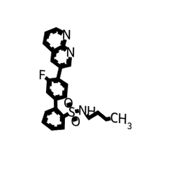 CCCCNS(=O)(=O)c1ccccc1-c1ccc(-c2cnc3ncccc3c2)c(F)c1